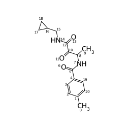 Cc1ccc(C(=O)NC(C)C(=O)C(=O)NCC2CC2)cc1